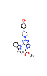 CC(C)(C)OC(=O)Cn1cnc2nc(N3CCN(c4ccc(O)cc4)CC3)nc(-n3nc(C(=O)O)c4ccccc43)c21